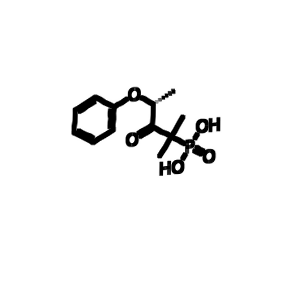 C[C@@H](Oc1ccccc1)C(=O)C(C)(C)P(=O)(O)O